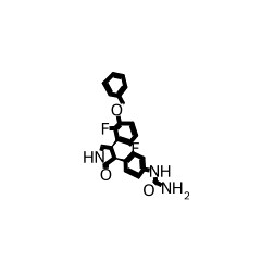 NC(=O)Nc1ccc([C@H]2C(=O)NC[C@H]2c2c(F)ccc(OCc3ccccc3)c2F)cc1